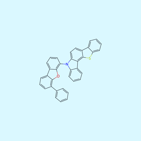 c1ccc(-c2cccc3c2oc2c(-n4c5ccccc5c5c6sc7ccccc7c6ccc54)cccc23)cc1